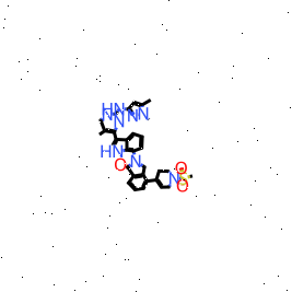 Cc1cnc(Nc2cc(C)n(C)n2)nc1-c1c[nH]c2c(N3Cc4c(cccc4C4=CCN(S(C)(=O)=O)CC4)C3=O)cccc12